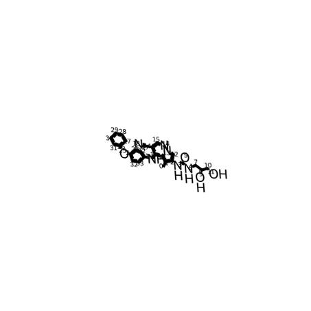 Cc1c(NC(=O)NC[C@H](O)CO)cn2ncc(C#N)c(Nc3ccc(Oc4ccccc4)cc3)c12